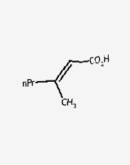 CCCC(C)=CC(=O)O